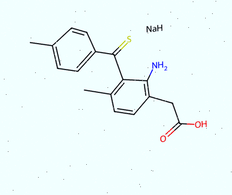 Cc1ccc(C(=S)c2c(C)ccc(CC(=O)O)c2N)cc1.[NaH]